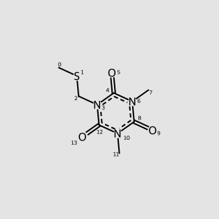 CSCn1c(=O)n(C)c(=O)n(C)c1=O